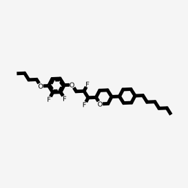 CCCCCCC1CCC(C2CCC(C(F)C(F)COc3ccc(OCCCC)c(F)c3F)OC2)CC1